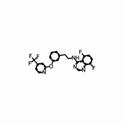 Fc1ccc(F)c2c(NCCc3cccc(Oc4cc(C(F)(F)F)ccn4)c3)ncnc12